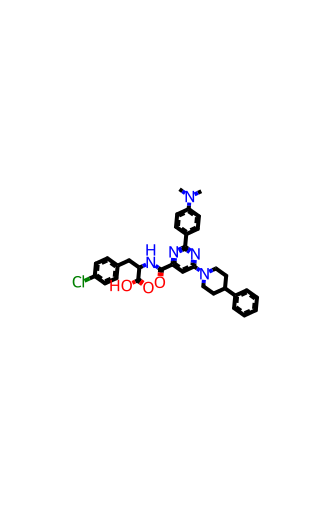 CN(C)c1ccc(-c2nc(C(=O)NC(Cc3ccc(Cl)cc3)C(=O)O)cc(N3CCC(c4ccccc4)CC3)n2)cc1